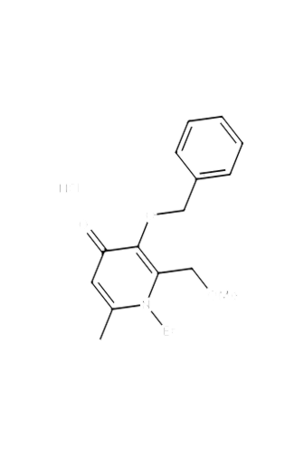 CCn1c(C)cc(=O)c(OCc2ccccc2)c1COC.Cl